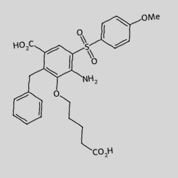 COc1ccc(S(=O)(=O)c2cc(C(=O)O)c(Cc3ccccc3)c(OCCCCC(=O)O)c2N)cc1